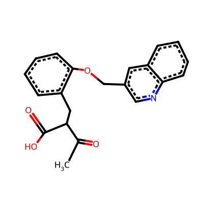 CC(=O)C(Cc1ccccc1OCc1cnc2ccccc2c1)C(=O)O